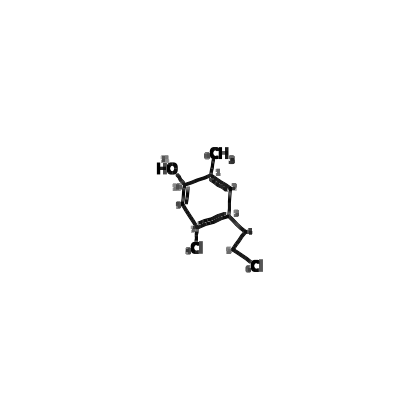 Cc1cc(CCCl)c(Cl)cc1O